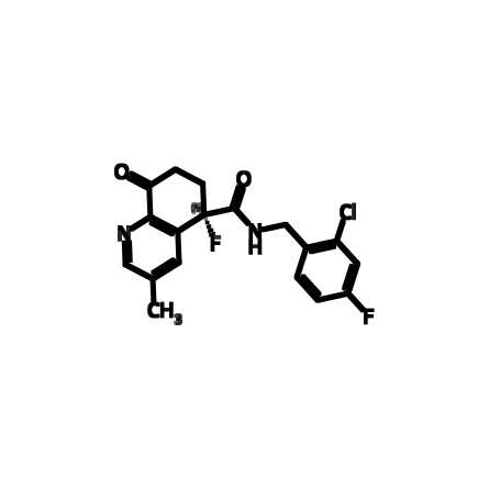 Cc1cnc2c(c1)[C@](F)(C(=O)NCc1ccc(F)cc1Cl)CCC2=O